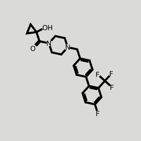 O=C(N1CCN(Cc2ccc(-c3ccc(F)cc3C(F)(F)F)cc2)CC1)C1(O)CC1